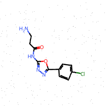 NCCC(=O)Nc1nnc(-c2ccc(Cl)cc2)o1